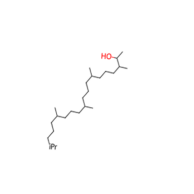 CC(C)CCCC(C)CCCC(C)CCCC(C)CCCC(C)C(C)O